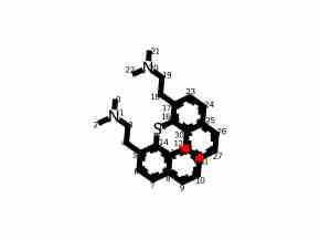 CN(C)CCc1ccc2ccccc2c1Sc1c(CCN(C)C)ccc2ccccc12